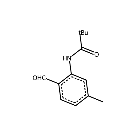 Cc1ccc(C=O)c(NC(=O)C(C)(C)C)c1